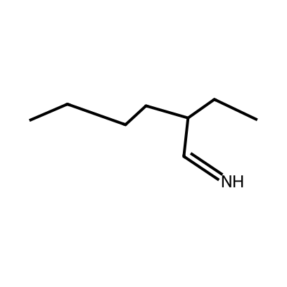 CCCCC(C=N)CC